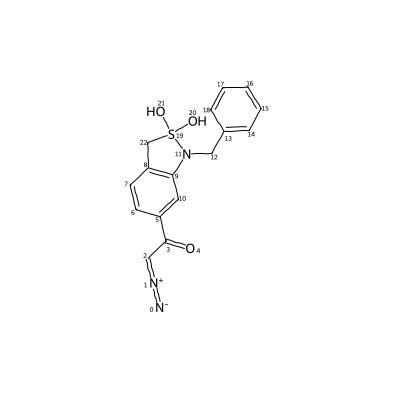 [N-]=[N+]=CC(=O)c1ccc2c(c1)N(Cc1ccccc1)S(O)(O)C2